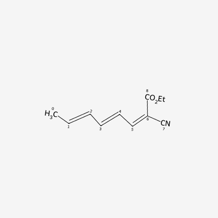 CC=CC=CC=C(C#N)C(=O)OCC